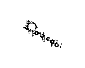 Cc1cc2cc(n1)-c1cnn(C)c1OCCC[C@@H](C)CN1/C(=N/C2=O)Nc2ccc(CN3C[C@@H]4C[C@H]3CN4C(=O)[C@@H]3CCN(c4cc(F)c([C@H]5CCC(=O)NC5=O)c(F)c4)C3)cc21